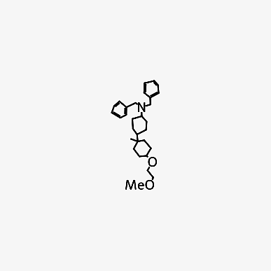 COCCOC1CCC(C)(C2CCC(N(Cc3ccccc3)Cc3ccccc3)CC2)CC1